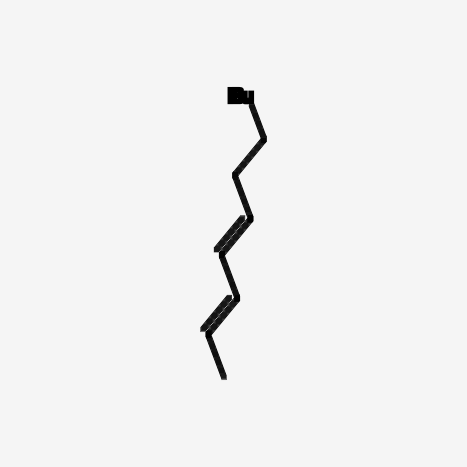 [CH2]CC(C)CC/C=C/C=C/C